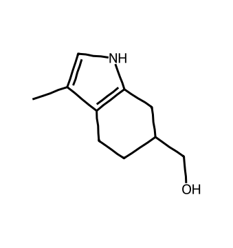 Cc1c[nH]c2c1CCC(CO)C2